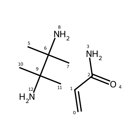 C=CC(N)=O.CC(C)(N)C(C)(C)N